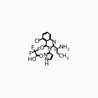 CC[C@H](N)c1nc2cccc(Cl)c2c(=O)n1-c1cc[nH]n1.O=C(O)C(F)(F)F